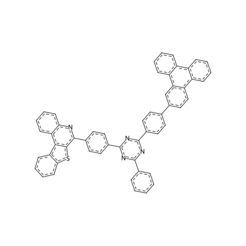 c1ccc(-c2nc(-c3ccc(-c4ccc5c6ccccc6c6ccccc6c5c4)cc3)nc(-c3ccc(-c4nc5ccccc5c5c4sc4ccccc45)cc3)n2)cc1